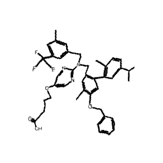 Cc1cc(CN(Cc2cc(C)c(OCc3ccccc3)cc2-c2cc(C(C)C)ccc2C)c2ncc(OCCCC(=O)O)cn2)cc(C(F)(F)F)c1